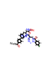 CNC(=O)c1ccc(-c2ccc(CC(CC(=O)NO)N(N)/C=C(\N)CNC(=O)c3ccc(F)cc3)cc2)cc1